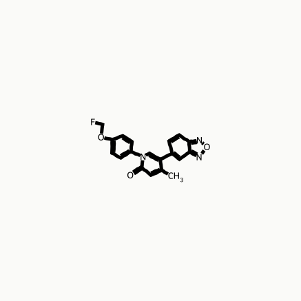 Cc1cc(=O)n(-c2ccc(OCF)cc2)cc1-c1ccc2nonc2c1